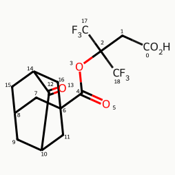 O=C(O)CC(OC(=O)C12CC3CC(C1)C(=O)C(C3)C2)(C(F)(F)F)C(F)(F)F